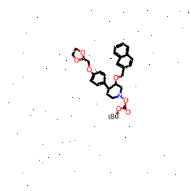 CC(C)(C)OC(=O)ON1CCC(c2ccc(OCC3OCCO3)cc2)C(OCc2ccc3ccccc3c2)C1